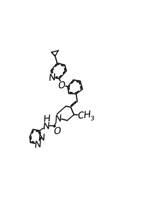 CC1CN(C(=O)Nc2cccnn2)CC/C1=C\c1cccc(Oc2ccc(C3CC3)cn2)c1